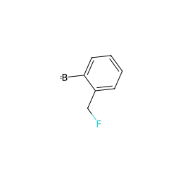 [B]c1ccccc1CF